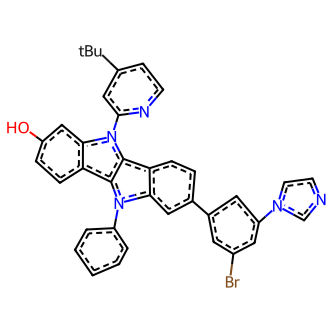 CC(C)(C)c1ccnc(-n2c3cc(O)ccc3c3c2c2ccc(-c4cc(Br)cc(-n5ccnc5)c4)cc2n3-c2ccccc2)c1